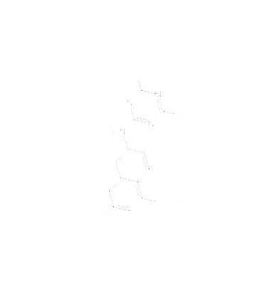 O=S(=O)(O)c1cc(S(=O)(=O)O)c2ccc(Nc3nc(Cl)nc(Cl)n3)cc2c1